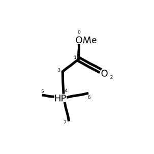 COC(=O)C[PH](C)(C)C